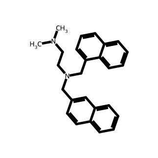 CN(C)CCN(Cc1ccc2ccccc2c1)Cc1cccc2ccccc12